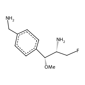 CO[C@H](c1ccc(CN)cc1)[C@H](N)CF